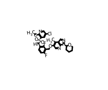 COc1ncc(Cl)cc1S(=O)(=O)Nc1ccc(F)c(COc2cnc3c(cnn3C3CCCCO3)c2C)c1F